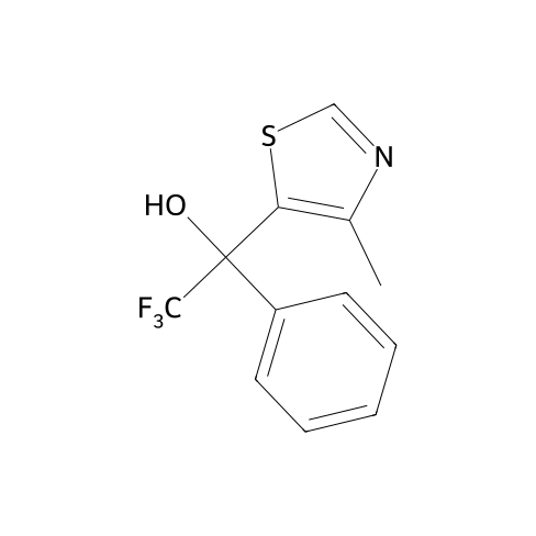 Cc1ncsc1C(O)(c1ccccc1)C(F)(F)F